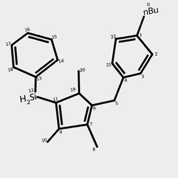 CCCCc1ccc(CC2=C(C)C(C)=C([SiH2]c3ccccc3)C2C)cc1